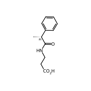 C[C@@H](C(=O)NCCC(=O)O)c1ccccc1